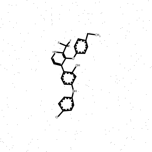 CCc1ccc(OC2=C(C(F)(F)F)NC=C=C2c2ccc(Nc3ccc(Cl)cc3)cc2O)cc1